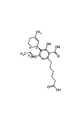 C=C(C)[C@@H]1CCC(C)=C[C@H]1c1c(O)cc(CCCCCC(=O)O)c(C(=O)O)c1O